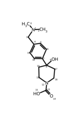 CN(C)Cc1ccc(C2(O)CCN(C(=O)O)CC2)cc1